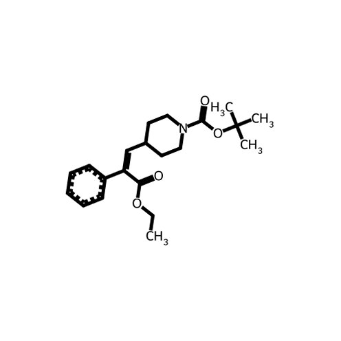 CCOC(=O)/C(=C\C1CCN(C(=O)OC(C)(C)C)CC1)c1ccccc1